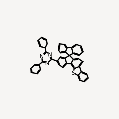 C1=CCC(c2nc(-c3ccccc3)nc(-c3ccc4c(c3)C3(c5ccccc5-c5ccccc53)c3ccc5c(sc6ccccc65)c3-4)n2)C=C1